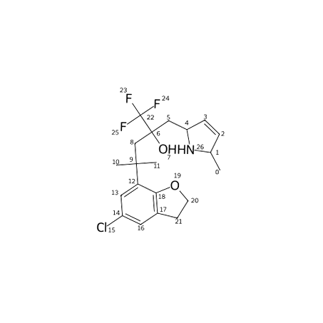 CC1C=CC(CC(O)(CC(C)(C)c2cc(Cl)cc3c2OCC3)C(F)(F)F)N1